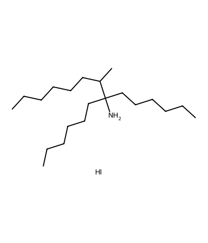 CCCCCCC(C)C(N)(CCCCCC)CCCCCC.I